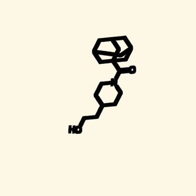 O=C(N1CCC(CCO)CC1)C12CC3CC(CC(C3)C1)C2